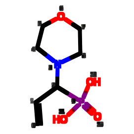 C=CC(N1CCOCC1)P(=O)(O)O